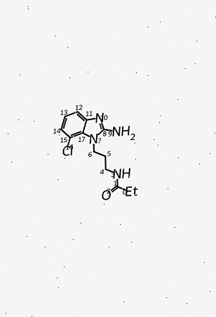 CCC(=O)NCCCn1c(N)nc2cccc(Cl)c21